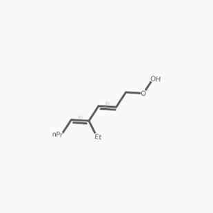 CCC/C=C(/C=C/COO)CC